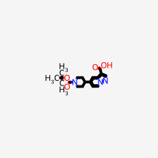 CC(C)(C)OC(=O)N1CCC(c2ccn3ncc(C(=O)O)c3c2)CC1